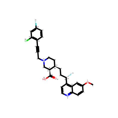 COc1ccc2nccc([C@@H](F)CC[C@@H]3CCN(CC#Cc4ccc(F)cc4Cl)C[C@@H]3C(=O)O)c2c1